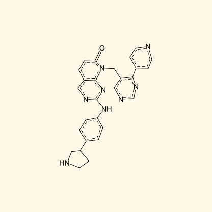 O=c1ccc2cnc(Nc3ccc(C4CCNC4)cc3)nc2n1Cc1cncnc1-c1ccncc1